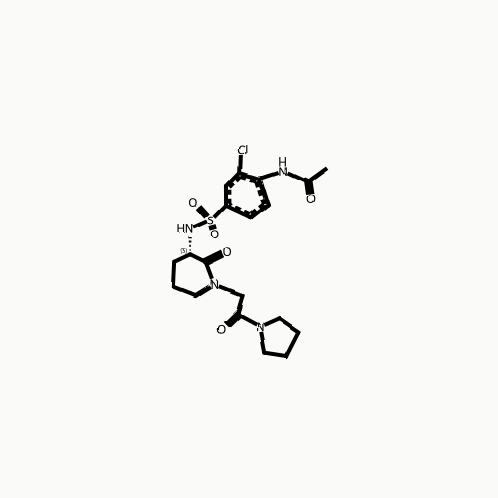 CC(=O)Nc1ccc(S(=O)(=O)N[C@H]2CCCN(CC(=O)N3CCCC3)C2=O)cc1Cl